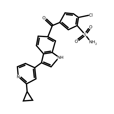 NS(=O)(=O)c1cc(C(=O)c2ccc3c(-c4ccnc(C5CC5)c4)c[nH]c3c2)ccc1Cl